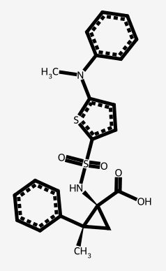 CN(c1ccccc1)c1ccc(S(=O)(=O)N[C@@]2(C(=O)O)C[C@]2(C)c2ccccc2)s1